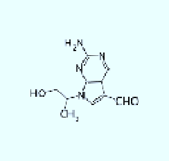 CC(CO)n1cc(C=O)c2cnc(N)nc21